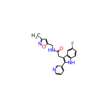 Cc1cc(CNC(=O)Cc2c(-c3cccnc3)[nH]c3ccc(F)cc23)on1